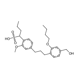 CCCCOc1cc(CO)ccc1CCCc1ccc(C(CCC)S(=O)(=O)O)c(OC)c1